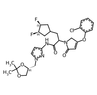 CC1(C)OC[C@@H](Cn2ccc(NC(=O)C(CC3C[C@@H](F)[C@@H](F)C3)N3CC(Oc4ccccc4Cl)=CC3=O)n2)O1